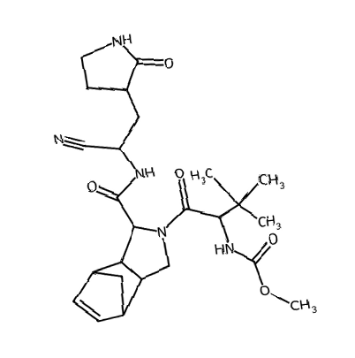 COC(=O)NC(C(=O)N1CC2C3C=CC(C3)C2C1C(=O)NC(C#N)CC1CCNC1=O)C(C)(C)C